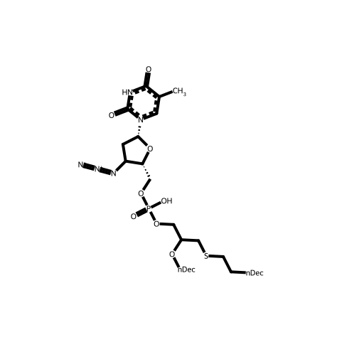 CCCCCCCCCCCCSCC(COP(=O)(O)OC[C@H]1O[C@@H](n2cc(C)c(=O)[nH]c2=O)CC1N=[N+]=[N-])OCCCCCCCCCC